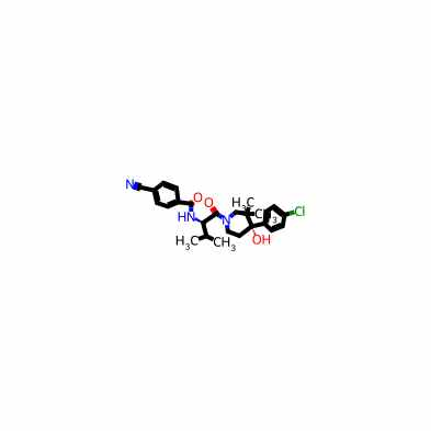 CC(C)[C@@H](NC(=O)c1ccc(C#N)cc1)C(=O)N1CC[C@](O)(c2ccc(Cl)cc2)C(C)(C)C1